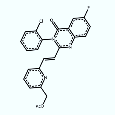 CC(=O)OCc1cccc(/C=C/c2nc3ccc(F)cc3c(=O)n2-c2ccccc2Cl)n1